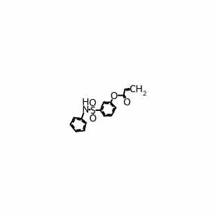 C=CC(=O)Oc1cccc(S(=O)(=O)Nc2ccccc2)c1